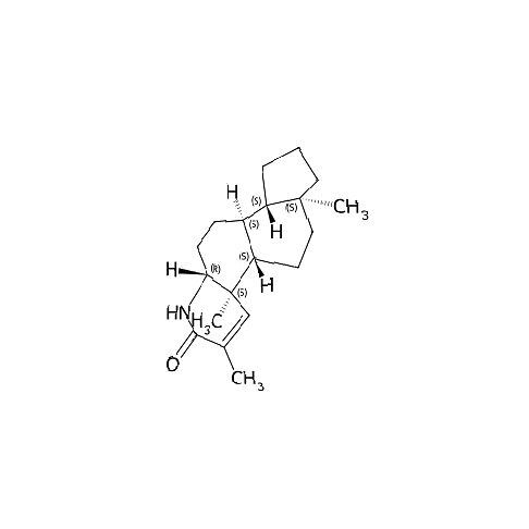 CC1=C[C@@]2(C)[C@@H](CC[C@H]3[C@@H]4CCC[C@@]4(C)CC[C@@H]32)NC1=O